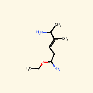 C/C(=C\CC(N)OCC(F)(F)F)C(C)N